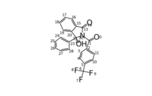 O=C(c1ccc(C(F)(F)F)cc1)N1C(=O)c2ccccc2C1(O)c1ccccc1